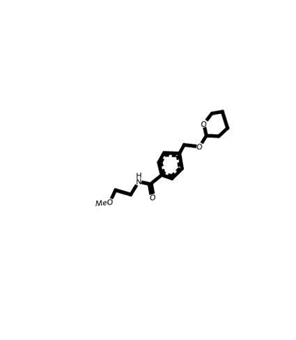 COCCNC(=O)c1ccc(COC2CCCCO2)cc1